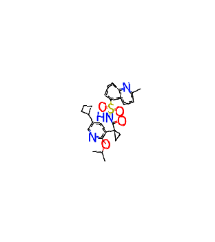 Cc1ccc2c(S(=O)(=O)NC(=O)C3(c4cc(C5CCC5)cnc4OC(C)C)CC3)cccc2n1